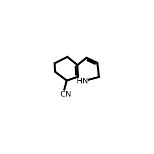 N#CC1CCCC2=C1NCC=C2